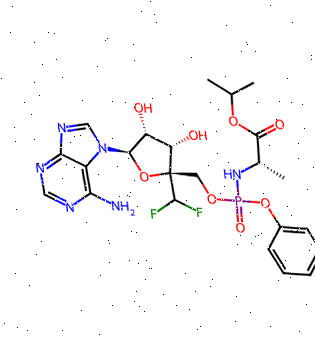 CC(C)OC(=O)[C@H](C)NP(=O)(OC[C@@]1(C(F)F)O[C@@H](n2cnc3ncnc(N)c32)[C@H](O)[C@@H]1O)Oc1ccccc1